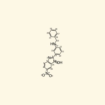 O=[N+]([O-])c1ccc2nc(-c3cccc(NCc4ccccc4)c3)n(O)c2c1